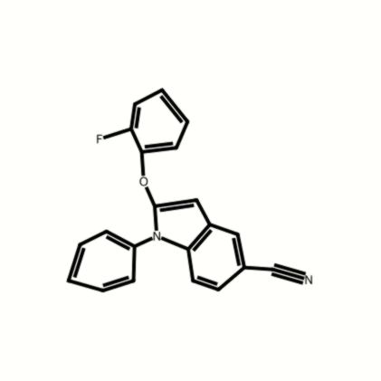 N#Cc1ccc2c(c1)cc(Oc1ccccc1F)n2-c1ccccc1